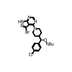 CCCCO[C@@H](c1ccc(Cl)cc1)C1CCN(c2ncnc3[nH]nc(Br)c23)CC1